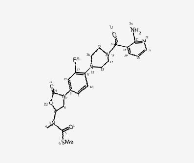 CSC(=O)N(C)C1CN(c2ccc(N3CCN(C(=O)c4cccnc4N)CC3)c(F)c2)C(=O)O1